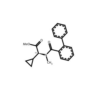 COC(=O)[C@H](C1CC1)N(C)C(=O)c1ccccc1-c1ccccc1